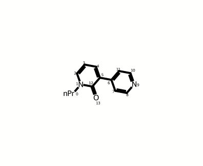 CCCn1cccc(-c2ccncc2)c1=O